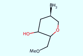 B[C@H]1COC(COC)C(O)C1